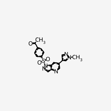 CC(=O)c1ccc(S(=O)(=O)n2ncc3ncc(-c4cnn(C)c4)cc32)cc1